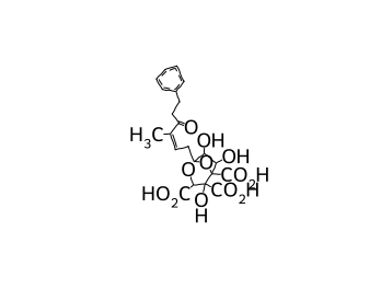 CC(=CCC12OC(C(=O)O)C(O)(C(=O)O)C(C(=O)O)(O1)C(O)C2O)C(=O)CCc1ccccc1